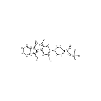 COc1cc(C2CCN(C(=O)OC(C)(C)C)CC2)c(F)cc1N1C(=O)c2ccccc2C1=O